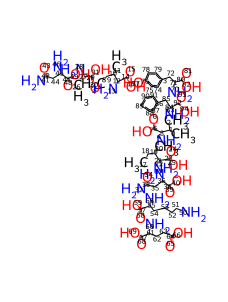 CC(C)[C@H](N)C(=O)O.CC[C@H](C)[C@H](N)C(=O)O.CC[C@H](C)[C@H](N)C(=O)O.C[C@H](N)C(=O)O.NC(=O)C[C@H](N)C(=O)O.NC(=O)C[C@H](N)C(=O)O.NCCCC[C@H](N)C(=O)O.N[C@@H](CCC(=O)O)C(=O)O.N[C@@H](Cc1ccc(O)cc1)C(=O)O.N[C@@H](Cc1ccccc1)C(=O)O